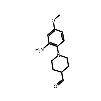 COc1ccc(N2CCC(C=O)CC2)c(N)c1